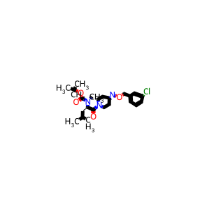 CC(C)C[C@@H](C(=O)N1CCC(=NOCc2cccc(Cl)c2)CC1)N(C)C(=O)OC(C)(C)C